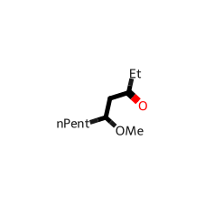 CCCCCC(CC(=O)CC)OC